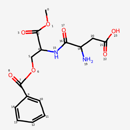 COC(=O)C(COC(=O)c1ccccc1)NC(=O)C(N)CC(=O)O